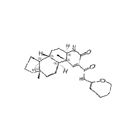 C[C@@]12CCC[C@H]1[C@@H]1CC[C@H]3NC(=O)C(C(=O)NC4CCCCO4)=C[C@]3(C)[C@H]1CC2